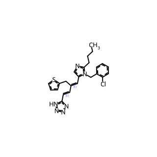 CCCCc1ncc(/C=C(/C=C/c2nnn[nH]2)Cc2cccs2)n1Cc1ccccc1Cl